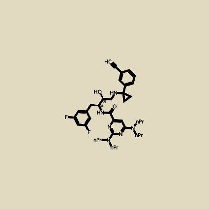 C#Cc1cccc(C2(NC[C@H](O)[C@H](Cc3cc(F)cc(F)c3)NC(=O)c3cc(N(CCC)CCC)nc(N(CCC)CCC)n3)CC2)c1